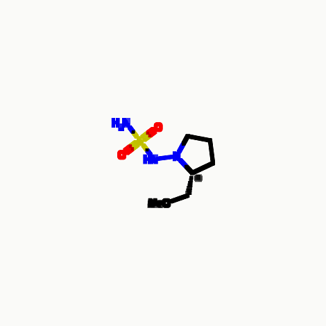 COC[C@H]1CCCN1NS(N)(=O)=O